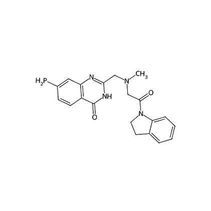 CN(CC(=O)N1CCc2ccccc21)Cc1nc2cc(P)ccc2c(=O)[nH]1